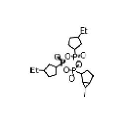 CCC1CCC(P2(=O)OP(=O)(C3CCC(CC)C3)OP(=O)(C3CCC4C(C)C43)O2)C1